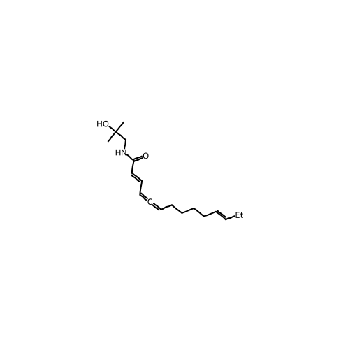 CCC=CCCCCC=C=CC=CC(=O)NCC(C)(C)O